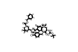 CC(C)(C)OC(=O)N[C@H]1CS(=O)(=O)c2cc(F)c(-c3nnn(C4CN(C(=O)OCc5ccccc5)CC(F)(F)C4)n3)cc2N(Cc2ccc(Cl)cc2)C1=O